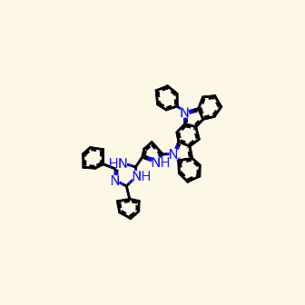 c1ccc(C2=NC(c3ccccc3)NC(c3ccc(-n4c5ccccc5c5cc6c7ccccc7n(-c7ccccc7)c6cc54)[nH]3)N2)cc1